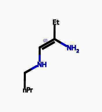 CCCCN/C=C(\N)CC